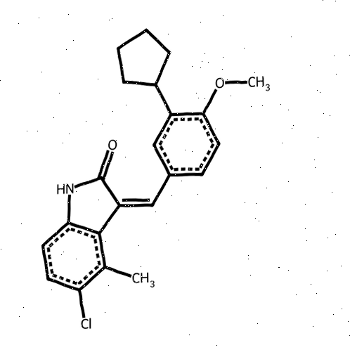 COc1ccc(C=C2C(=O)Nc3ccc(Cl)c(C)c32)cc1C1CCCC1